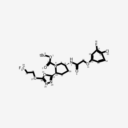 CC(C)(C)OC(=O)N1C[C@H](NC(=O)COc2ccc(Cl)c(F)c2)CC[C@H]1c1nnc(OCCC(F)(F)F)o1